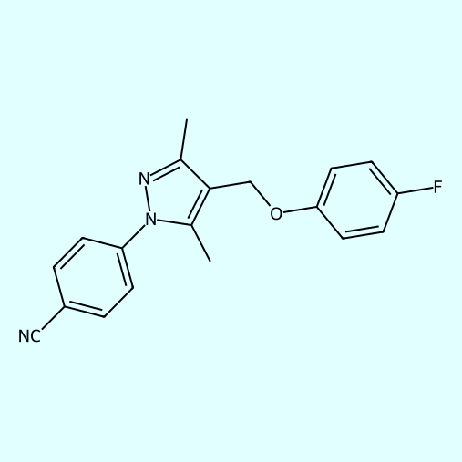 Cc1nn(-c2ccc(C#N)cc2)c(C)c1COc1ccc(F)cc1